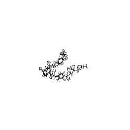 Cc1c(C(=O)OCC(O)CO)ccc2c1CC[C@@H]2NC(=O)c1cc(C(=O)NCc2ccc(F)c(C(F)(F)F)c2)nc2c(F)cnn12